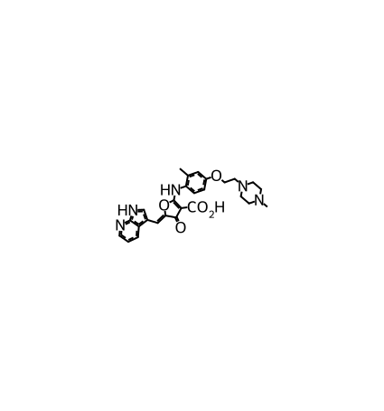 Cc1cc(OCCN2CCN(C)CC2)ccc1NC1=C(C(=O)O)C(=O)/C(=C/c2c[nH]c3ncccc23)O1